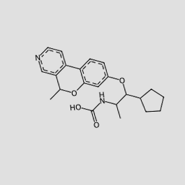 CC1Oc2cc(OC(C3CCCC3)C(C)NC(=O)O)ccc2-c2ccncc21